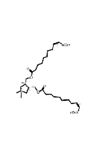 CCCCCCCC/C=C\CCCCCCCC(=O)OC[C@@H]1C[N+](C)(C)C[C@H]1COC(=O)CCCCCCC/C=C\CCCCCCCC